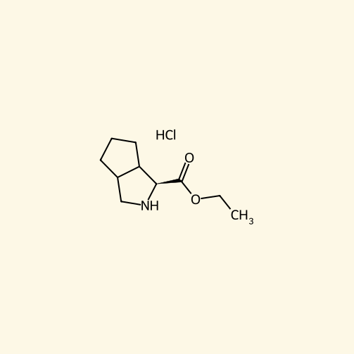 CCOC(=O)[C@H]1NCC2CCCC21.Cl